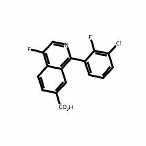 O=C(O)c1ccc2c(F)cnc(-c3cccc(Cl)c3F)c2c1